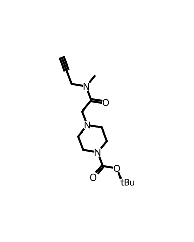 C#CCN(C)C(=O)CN1CCN(C(=O)OC(C)(C)C)CC1